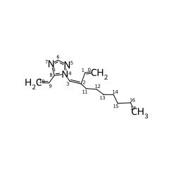 C=C/C(=C\n1ncnc1C=C)CCCCCCC